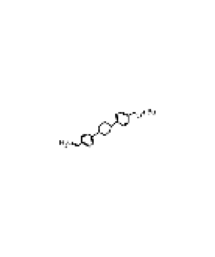 C=Cc1ccc(C2CCC(c3ccc(COCCCC)cc3)CC2)cc1